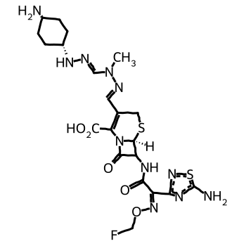 CN(/C=N/N[C@H]1CC[C@H](N)CC1)N=CC1=C(C(=O)O)N2C(=O)C(NC(=O)/C(=N\OCF)c3nsc(N)n3)[C@@H]2SC1